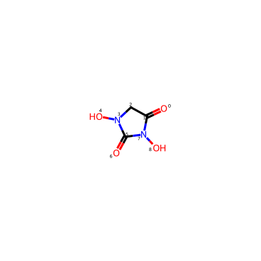 O=C1CN(O)C(=O)N1O